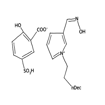 CCCCCCCCCCCC[n+]1cccc(/C=N\O)c1.O=C([O-])c1cc(S(=O)(=O)O)ccc1O